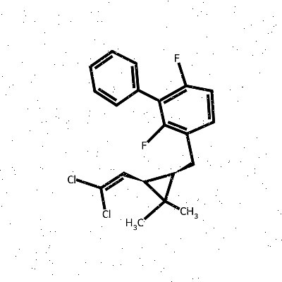 CC1(C)[C@H](Cc2ccc(F)c(-c3ccccc3)c2F)[C@@H]1C=C(Cl)Cl